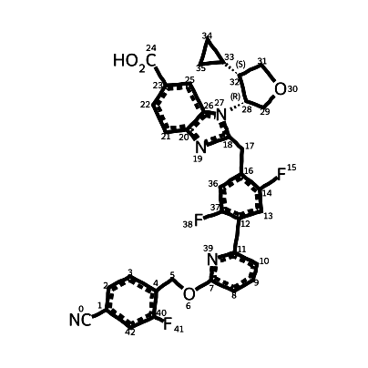 N#Cc1ccc(COc2cccc(-c3cc(F)c(Cc4nc5ccc(C(=O)O)cc5n4[C@H]4COC[C@H]4C4CC4)cc3F)n2)c(F)c1